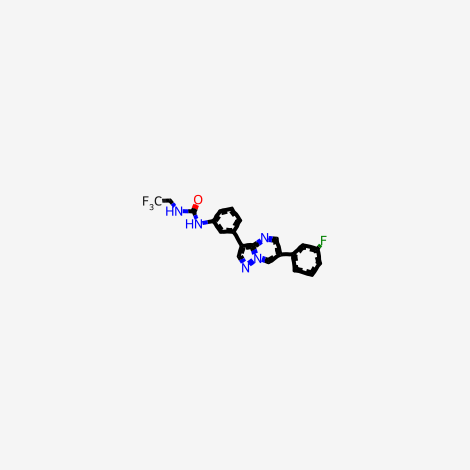 O=C(NCC(F)(F)F)Nc1cccc(-c2cnn3cc(-c4cccc(F)c4)cnc23)c1